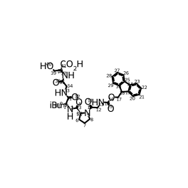 CC[C@H](C)[C@H](NC(=O)[C@@H]1CCCN1C(=O)CNC(=O)OCC1c2ccccc2-c2ccccc21)C(=O)NCC(=O)N[C@@H](CO)C(=O)O